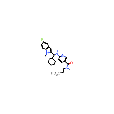 CN(CCC(=O)O)C(=O)c1ccc(NC(c2cc3cc(F)ccc3n2C)C2CCCCC2)nc1